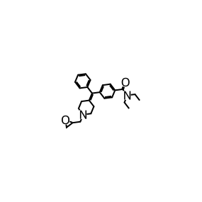 CCN(CC)C(=O)c1ccc(C(=C2CCN(CC3CO3)CC2)c2ccccc2)cc1